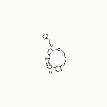 Clc1cnc2nc1-c1ccnc(c1)OCC/C=C/COCc1cc(ccc1OCCN1CCCC1)N2